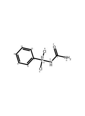 NC(=O)N[PH](Cl)(Cl)c1ccccc1